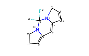 FC1(F)N2CC=BC2=Cc2cccn21